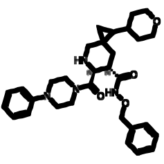 O=C(NOCc1ccccc1)[C@H]1CC2(CN[C@@H]1C(=O)N1CCN(c3ccccc3)CC1)CC2C1CCOCC1